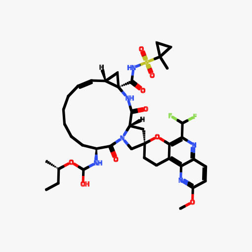 CC[C@H](C)OC(O)N[C@H]1CCCCC/C=C\[C@@H]2C[C@@]2(C(=O)NS(=O)(=O)C2(C)CC2)NC(=O)[C@@H]2C[C@]3(CCc4c(c(C(F)F)nc5ccc(OC)nc45)O3)CN2C1=O